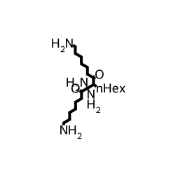 CCCCCCC(C(=O)CCCCCCN)C(N)(N)C(=O)CCCCCCN